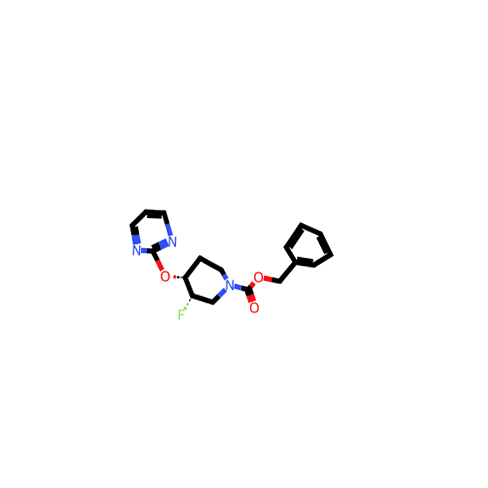 O=C(OCc1ccccc1)N1CC[C@@H](Oc2ncccn2)[C@@H](F)C1